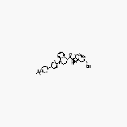 CC(C)(C)N1CCN(c2ccc(N3CCN(C(=O)NC4[C@@H]5CC6C[C@H]4CC(CO)(C6)C5)c4ccccc43)nc2)CC1